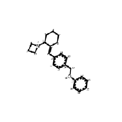 C(=C1CCCCC1N1CCC1)c1ccc(COc2ccccc2)cc1